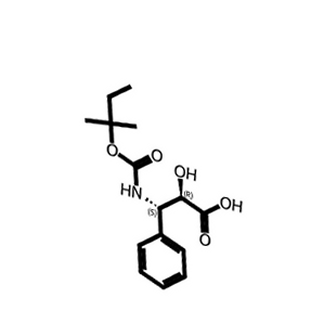 CCC(C)(C)OC(=O)N[C@@H](c1ccccc1)[C@@H](O)C(=O)O